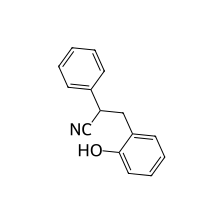 N#CC(Cc1ccccc1O)c1ccccc1